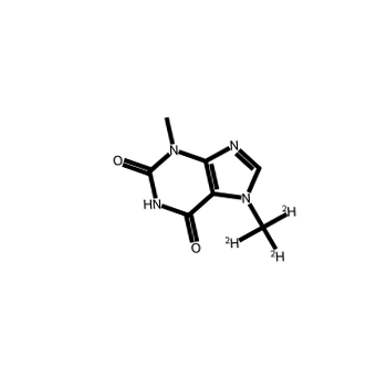 [2H]C([2H])([2H])n1cnc2c1c(=O)[nH]c(=O)n2C